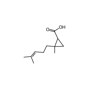 CC(C)=CCCC1(C)CC1C(=O)O